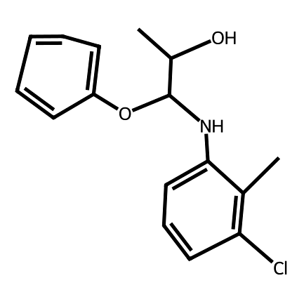 Cc1c(Cl)cccc1NC(Oc1ccccc1)C(C)O